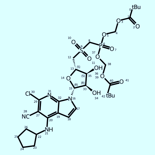 CC(C)(C)C(=O)OCOP(=O)(CS(=O)(=O)C[C@H]1O[C@@H](n2ccc3c(NC4CCCC4)c(C#N)c(Cl)nc32)[C@H](O)[C@@H]1O)OCOC(=O)C(C)(C)C